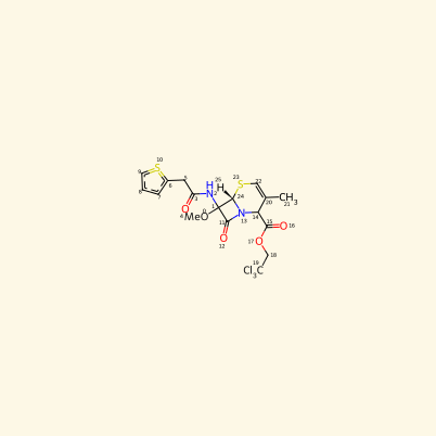 COC1(NC(=O)Cc2cccs2)C(=O)N2C(C(=O)OCC(Cl)(Cl)Cl)C(C)=CS[C@H]21